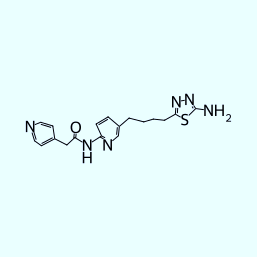 Nc1nnc(CCCCc2ccc(NC(=O)Cc3ccncc3)nc2)s1